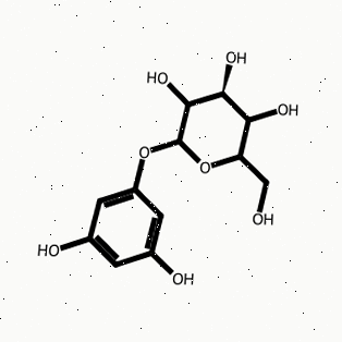 OCC1OC(Oc2cc(O)cc(O)c2)C(O)[C@@H](O)C1O